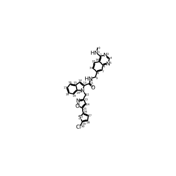 CNc1ncnc2cc(CNC(=O)c3cc4ccccc4n3Cc3cc(-c4ccc(Cl)s4)on3)ccc12